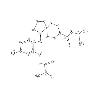 CCN(C)C(=O)COc1cc(C(F)(F)F)ccc1CN1CCCC12CCN(C(=O)OC(C(F)(F)F)C(F)(F)F)CC2